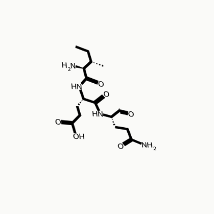 CC[C@H](C)[C@H](N)C(=O)N[C@@H](CCC(=O)O)C(=O)N[C@H]([C]=O)CCC(N)=O